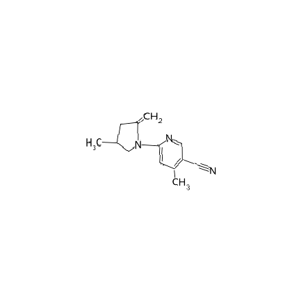 C=C1CC(C)CN1c1cc(C)c(C#N)cn1